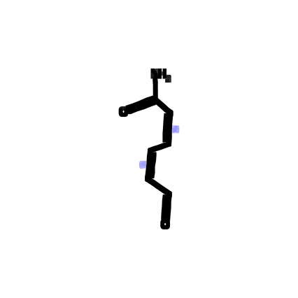 NC(=O)/C=C\C=C/C=O